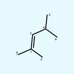 [CH2]/C(C)=C/C(C)C